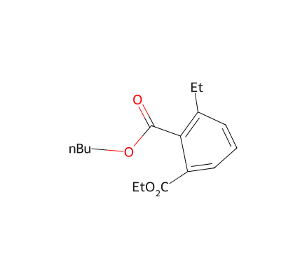 CCCCOC(=O)c1c(CC)cccc1C(=O)OCC